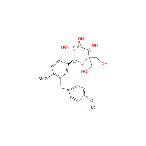 CCOc1ccc(Cc2cc([C@@H]3OC(CO)(CO)[C@@H](O)[C@H](O)[C@H]3O)ccc2OC)cc1